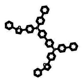 c1ccc(-c2ccc(N(c3ccc(-c4ccc(N(c5ccc(-c6ccccc6)cc5)c5ccc(-c6ccc(-c7ccccc7)o6)cc5)cc4)cc3)c3ccc(-c4ccc(-c5ccccc5)o4)cc3)cc2)cc1